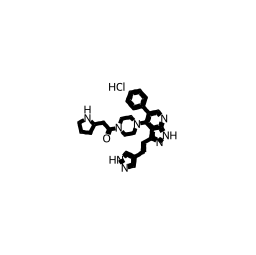 Cl.O=C(CC1CCCN1)N1CCN(c2c(-c3ccccc3)cnc3[nH]nc(C=Cc4cn[nH]c4)c23)CC1